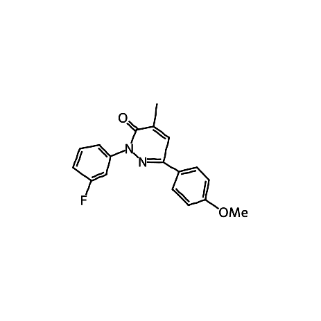 COc1ccc(-c2cc(C)c(=O)n(-c3cccc(F)c3)n2)cc1